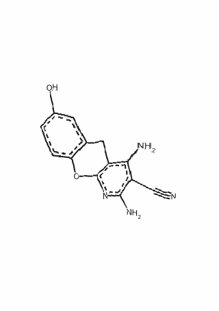 N#Cc1c(N)nc2c(c1N)Cc1cc(O)ccc1O2